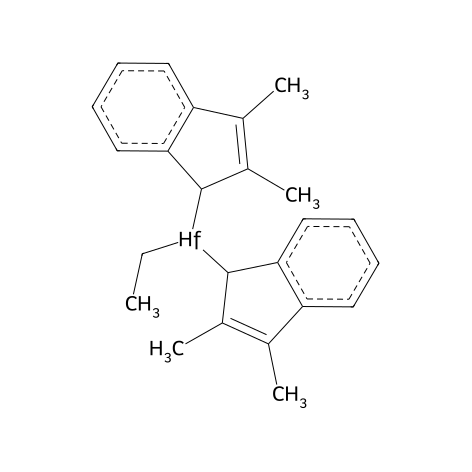 C[CH2][Hf]([CH]1C(C)=C(C)c2ccccc21)[CH]1C(C)=C(C)c2ccccc21